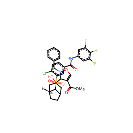 COC(=O)C1=CON(Cc2ccccc2)C1C1(O)CC2CC[C@H](C1)C2S(=O)(=O)c1cc(C(=O)Nc2cc(F)c(F)c(F)c2)ccc1Cl